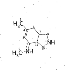 CNC1C=C(C)CC2CNCC21